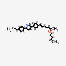 C=CCc1ccc(-c2ccc(-c3ccc(C=CCCCC(C)OCCCCC)cc3)cn2)cc1